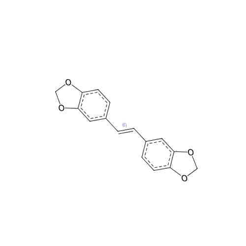 C(=C\c1ccc2c(c1)OCO2)/c1ccc2c(c1)OCO2